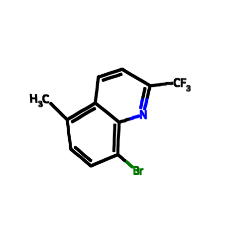 Cc1ccc(Br)c2nc(C(F)(F)F)ccc12